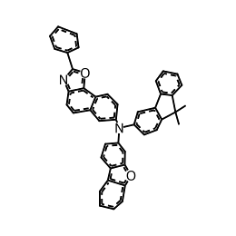 CC1(C)c2ccccc2-c2cc(N(c3ccc4c(ccc5nc(-c6ccccc6)oc54)c3)c3ccc4c(c3)oc3ccccc34)ccc21